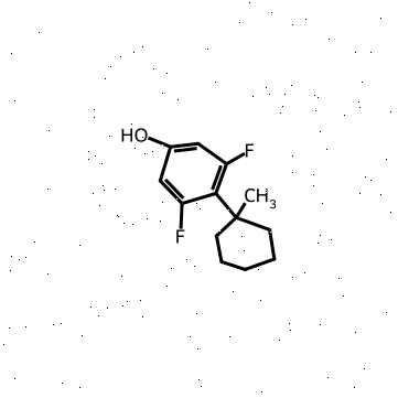 CC1(c2c(F)cc(O)cc2F)CCCCC1